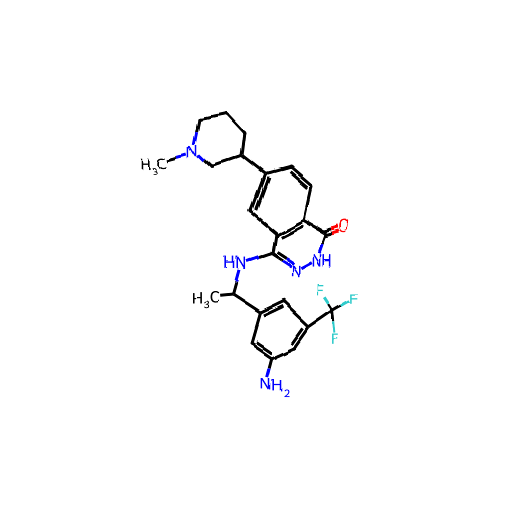 CC(Nc1n[nH]c(=O)c2ccc(C3CCCN(C)C3)cc12)c1cc(N)cc(C(F)(F)F)c1